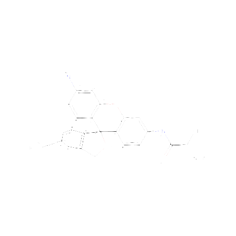 CC(=O)N[C@@H](C)C(=O)Nc1ccc2c(c1)Oc1cc(N)ccc1C21OCc2cc(S(=O)(=O)O)ccc21